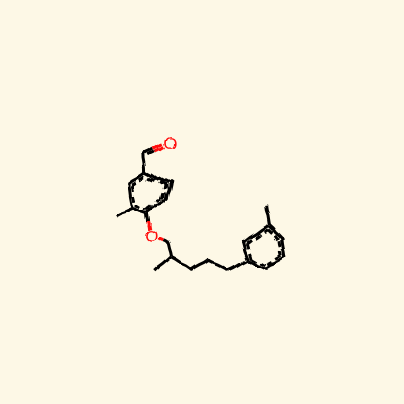 Cc1cccc(CCCC(C)COc2ccc(C=O)cc2C)c1